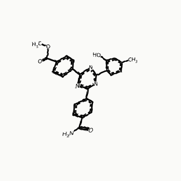 COC(=O)c1ccc(-c2nc(-c3ccc(C(N)=O)cc3)nc(-c3ccc(C)cc3O)n2)cc1